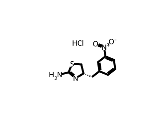 Cl.NC1=N[C@@H](Cc2cccc([N+](=O)[O-])c2)CS1